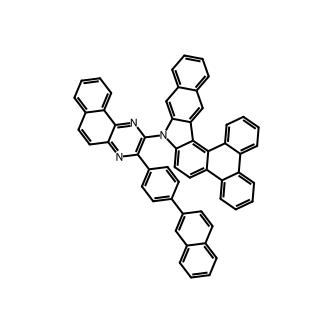 c1ccc2cc(-c3ccc(-c4nc5ccc6ccccc6c5nc4-n4c5cc6ccccc6cc5c5c6c7ccccc7c7ccccc7c6ccc54)cc3)ccc2c1